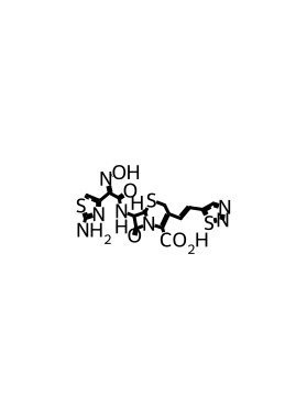 Nc1nc(/C(=N/O)C(=O)NC2C(=O)N3C(C(=O)O)=C(/C=C/c4cnns4)CS[C@@H]23)cs1